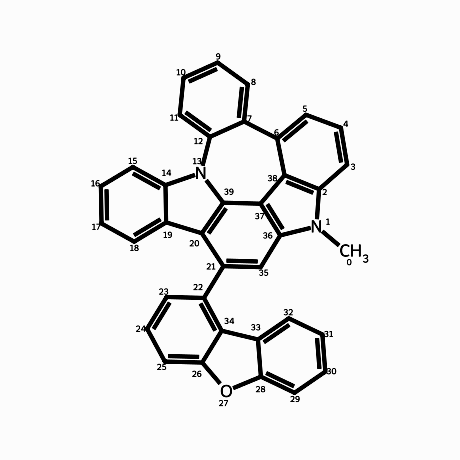 Cn1c2cccc3c4ccccc4n4c5ccccc5c5c(-c6cccc7oc8ccccc8c67)cc1c(c32)c54